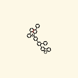 c1ccc(-c2ccc(N(c3ccc(-c4ccc(-c5ccc6oc7ccccc7c6c5)c(-c5ccccc5)c4)cc3)c3ccccc3-c3ccccc3)cc2)cc1